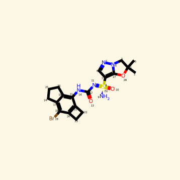 CC1(C)Cn2ncc([S@@](N)(=O)=NC(=O)Nc3c4c(c(Br)c5c3CC5)CCC4)c2O1